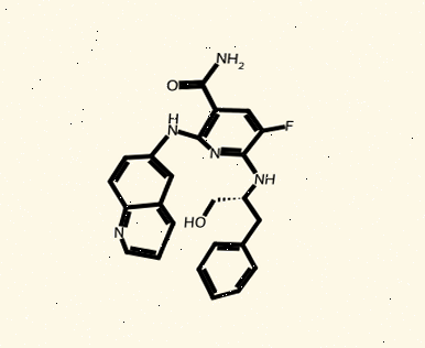 NC(=O)c1cc(F)c(N[C@@H](CO)Cc2ccccc2)nc1Nc1ccc2ncccc2c1